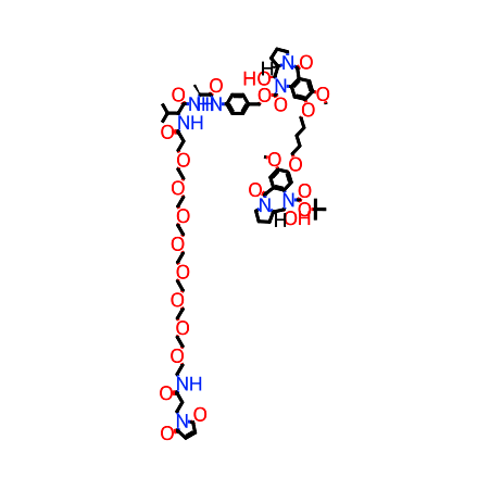 COc1cc2c(cc1OCCCCCOc1cc3c(cc1OC)C(=O)N1CCC[C@H]1[C@H](O)N3C(=O)OC(C)(C)C)N(C(=O)OCc1ccc(NC(=O)[C@H](C)NC(=O)[C@@H](NC(=O)CCOCCOCCOCCOCCOCCOCCOCCOCCNC(=O)CCN3C(=O)C=CC3=O)C(C)C)cc1)[C@@H](O)[C@@H]1CCCN1C2=O